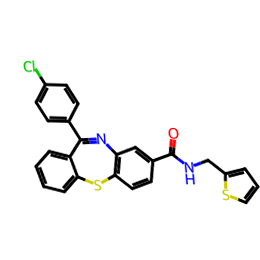 O=C(NCc1cccs1)c1ccc2c(c1)N=C(c1ccc(Cl)cc1)c1ccccc1S2